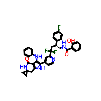 O=C(NC[C@H](CC(F)(F)c1cc(-c2[nH]c3c(c2Nc2ccccc2)C(=O)NC2(CC2)C3)ccn1)c1ccc(F)cc1)c1ccccc1O